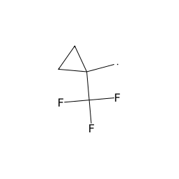 [CH2]C1(C(F)(F)F)CC1